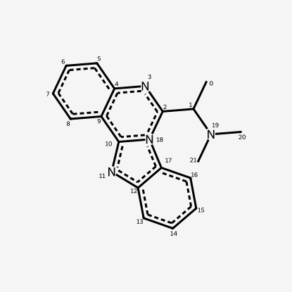 CC(c1nc2ccccc2c2nc3ccccc3n12)N(C)C